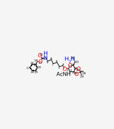 CC(=O)NC1C(OCCCCCCNC(=O)OCc2ccccc2)OC(CN)C2OC(C)(C)OC12